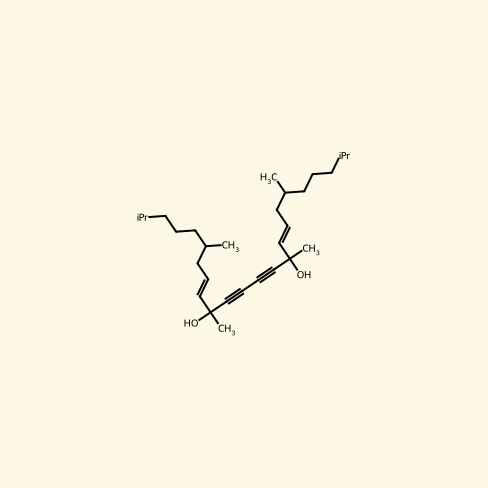 CC(C)CCCC(C)CC=CC(C)(O)C#CC#CC(C)(O)C=CCC(C)CCCC(C)C